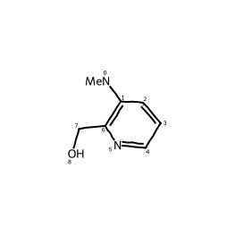 CNc1[c]ccnc1CO